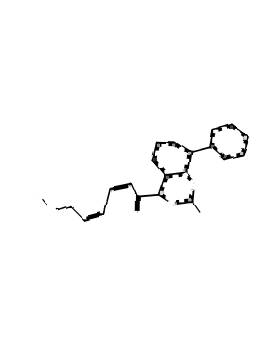 C=C(/C=C\C=C/CSC)c1nc(Cl)nc2c(-c3ccccc3)cccc12